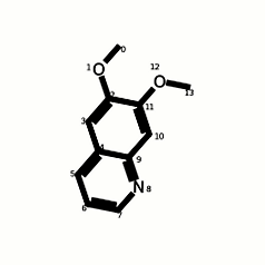 COc1cc2cccnc2cc1OC